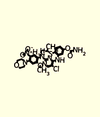 COc1cc(N2CCOCC2)c([N+](=O)[O-])cc1Nc1ncc(Cl)c(Nc2cc(OC(N)=O)ccc2SC(C)C)n1